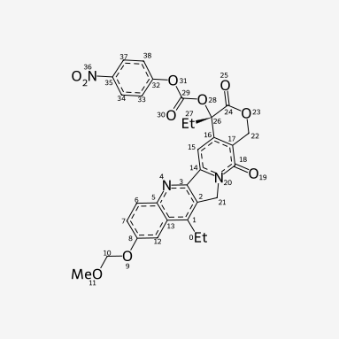 CCc1c2c(nc3ccc(OCOC)cc13)-c1cc3c(c(=O)n1C2)COC(=O)[C@@]3(CC)OC(=O)Oc1ccc([N+](=O)[O-])cc1